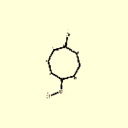 [CH2]COC1CCCC([O])CCC1